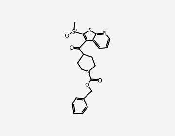 C[S+]([O-])c1sc2ncccc2c1C(=O)C1CCN(C(=O)OCc2ccccc2)CC1